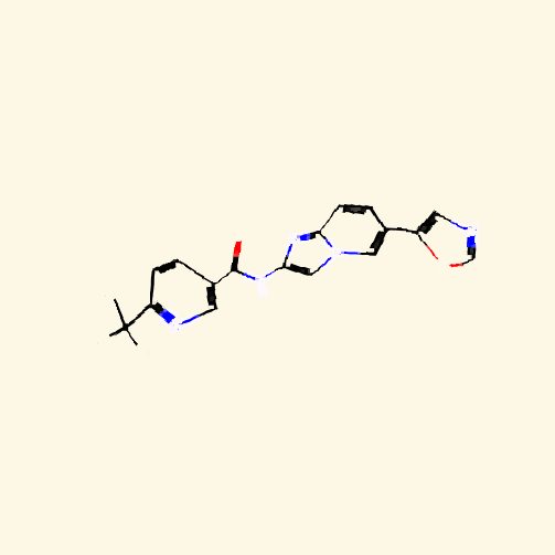 CC(C)(C)c1ccc(C(=O)Nc2cn3cc(-c4cnco4)ccc3n2)cn1